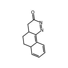 O=C1CC2CCC3C=CC=CC3=C2N=N1